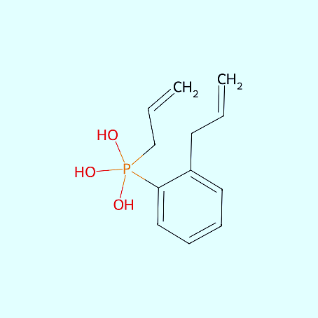 C=CCc1ccccc1P(O)(O)(O)CC=C